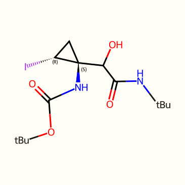 CC(C)(C)NC(=O)C(O)[C@@]1(NC(=O)OC(C)(C)C)C[C@H]1I